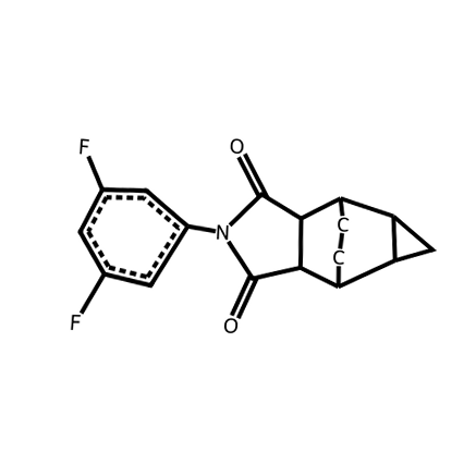 O=C1C2C3CCC(C4CC43)C2C(=O)N1c1cc(F)cc(F)c1